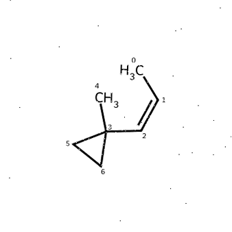 C/C=C\C1(C)CC1